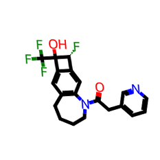 O=C(Cc1cccnc1)N1CCCCc2cc3c(cc21)[C@@H](F)C3(O)C(F)(F)F